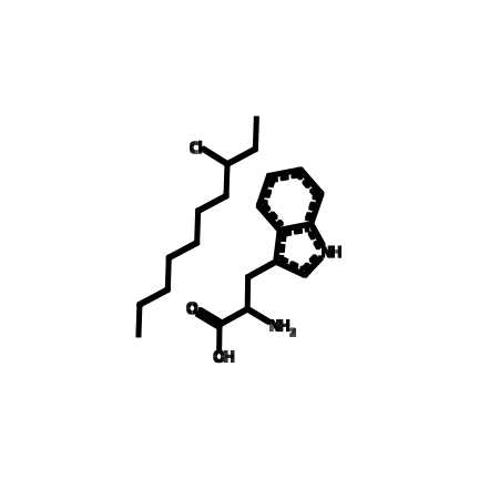 CCCCCCCC(Cl)CC.NC(Cc1c[nH]c2ccccc12)C(=O)O